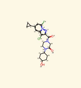 O=C(c1nn2c(F)cc(C3CC3)cc2c1Cl)N1CCN(C2CCC(O)CC2)C(=O)C1